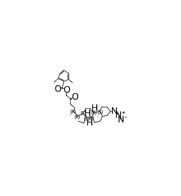 Cc1cccc(C)c1C(=O)OCC(=O)CC[C@@H](C)[C@H]1CC[C@H]2[C@@H]3CCC4CC(N=[N+]=[N-])CC[C@]4(C)[C@H]3CC[C@]12C